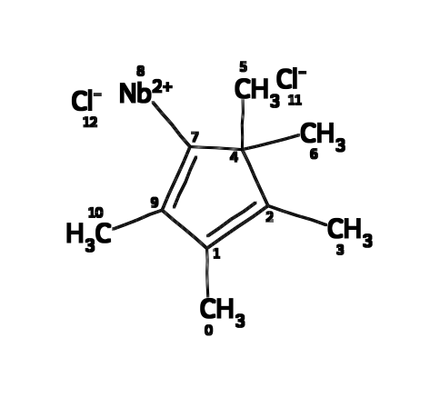 CC1=C(C)C(C)(C)[C]([Nb+2])=C1C.[Cl-].[Cl-]